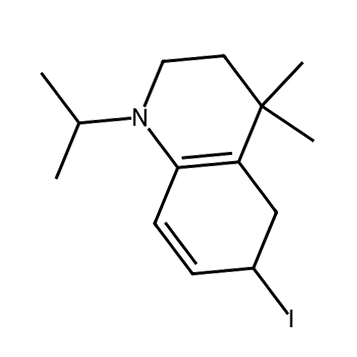 CC(C)N1CCC(C)(C)C2=C1C=CC(I)C2